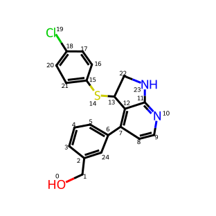 OCc1cccc(-c2ccnc3c2C(Sc2ccc(Cl)cc2)CN3)c1